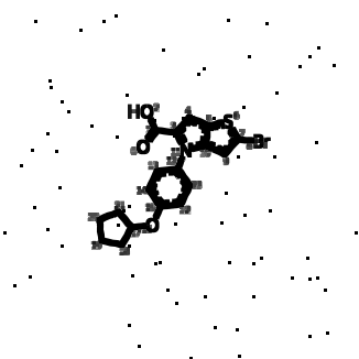 O=C(O)c1cc2sc(Br)cc2n1-c1ccc(OC2CCCC2)cc1